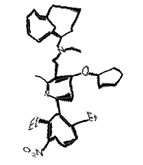 CCc1ccc([N+](=O)[O-])c(CC)c1-c1cc(OC2CCCC2)c(CN(C)C2CCCc3ccccc32)c(C)n1